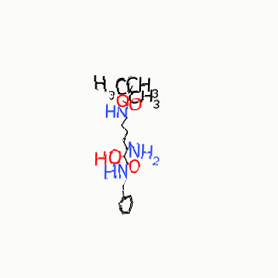 CC(C)(C)OC(=O)NCCCC[C@H](N)C(O)C(=O)NCCc1ccccc1